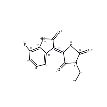 CCN1C(=O)/C(=C2/C(=O)Nc3c(F)cccc32)SC1=S